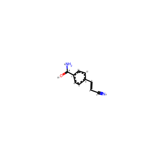 N#CC=Cc1ccc(C(N)=O)cc1